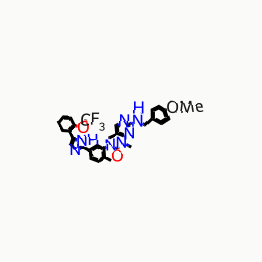 COc1ccc(CNc2ncc3c(n2)N(C)C(=O)N(c2cc(-c4ncc(C5=C(OC(F)(F)F)C=CCC5)[nH]4)ccc2C)C3)cc1